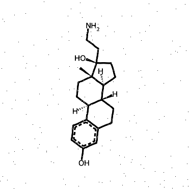 C[C@]12CC[C@@H]3c4ccc(O)cc4CC[C@H]3[C@@H]1CC[C@@]2(O)CCN